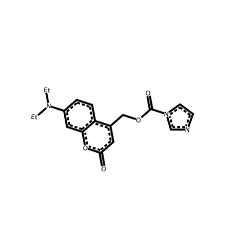 CCN(CC)c1ccc2c(COC(=O)n3ccnc3)cc(=O)oc2c1